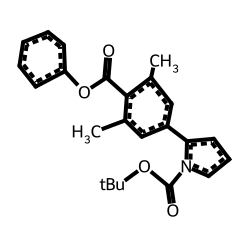 Cc1cc(-c2cccn2C(=O)OC(C)(C)C)cc(C)c1C(=O)Oc1ccccc1